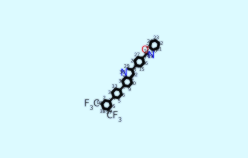 FC(F)(F)c1cc(-c2ccc(-c3ccc4cc(-c5ccc(-c6nc7ccccc7o6)cc5)cnc4c3)cc2)cc(C(F)(F)F)c1